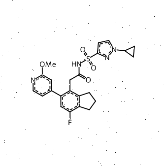 COc1cc(-c2cc(F)c3c(c2CC(=O)NS(=O)(=O)c2ccn(C4CC4)n2)CCC3)ccn1